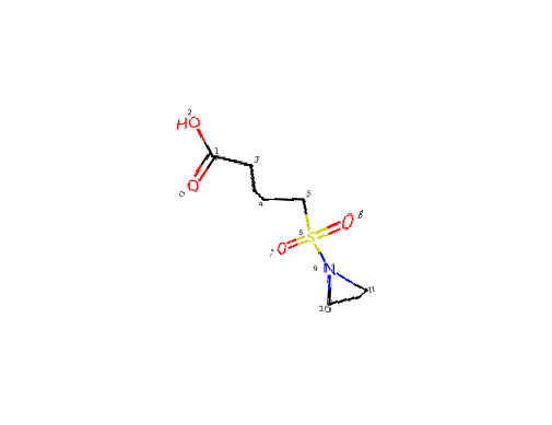 O=C(O)CCCS(=O)(=O)N1CC1